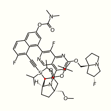 COC[C@@]12CC[C@@H](CN(c3nc(OC[C@@]45CCCN4C[C@H](F)C5)nc4c(F)c(-c5cc(OC(=O)N(C)C)cc6ccc(F)c(C#C[Si](C(C)C)(C(C)C)C(C)C)c56)ncc34)C1)N2C(=O)OC(C)(C)C